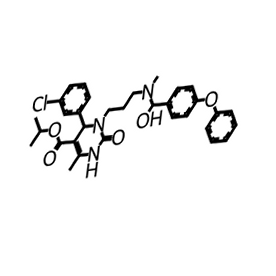 CC1=C(C(=O)OC(C)C)C(c2cccc(Cl)c2)N(CCCN(C)C(O)c2ccc(Oc3ccccc3)cc2)C(=O)N1